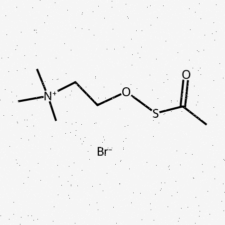 CC(=O)SOCC[N+](C)(C)C.[Br-]